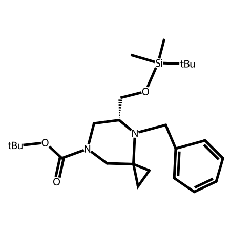 CC(C)(C)OC(=O)N1C[C@H](CO[Si](C)(C)C(C)(C)C)N(Cc2ccccc2)C2(CC2)C1